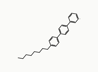 CCCCCCCCc1ccc(-c2ccc(-c3c[c]ccc3)cc2)cc1